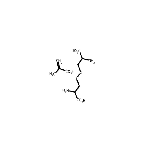 C=C(C)C(=O)O.NC(CSSCC(N)C(=O)O)C(=O)O